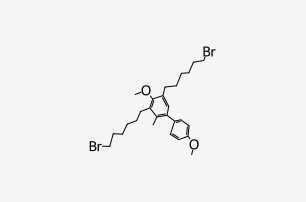 COc1ccc(-c2cc(CCCCCCBr)c(OC)c(CCCCCCBr)c2C)cc1